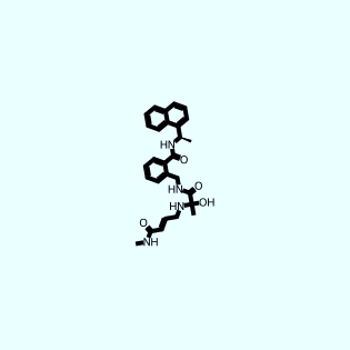 CNC(=O)/C=C/CNC(C)(O)C(=O)NCc1ccccc1C(=O)N[C@H](C)c1cccc2ccccc12